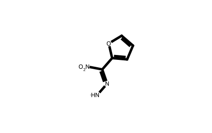 [NH]N=C(c1ccco1)[N+](=O)[O-]